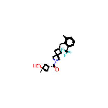 Cc1cccc(C(F)(F)F)c1CC1CC2(C1)CN(C(=O)[C@H]1C[C@@](C)(O)C1)C2